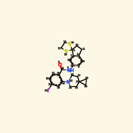 O=C(Nc1ccc2c(c1)C1(CC2)SCCS1)c1ccc(I)cc1N1CCC2(CC1)CC2